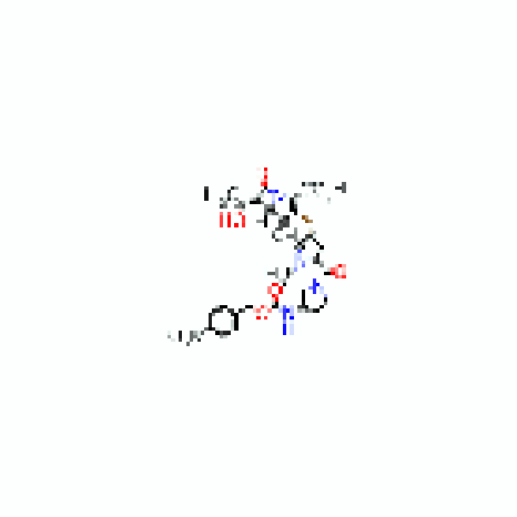 C[C@@H](O)[C@H]1C(=O)N2C(C(=O)O)=C(S[C@H]3C[C@@H](C(=O)N4CC[C@H](NC(=O)OCc5ccc([N+](=O)[O-])cc5)C4)N(C)C3)[C@H](C)[C@H]12